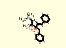 C/C(=C\c1ccccc1)C(O)(Cc1ccccc1)C(C)CN(C)C